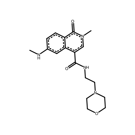 CNc1ccc2c(=O)n(C)cc(C(=O)NCCN3CCOCC3)c2c1